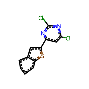 Clc1cc(-c2cc3ccccc3s2)nc(Cl)n1